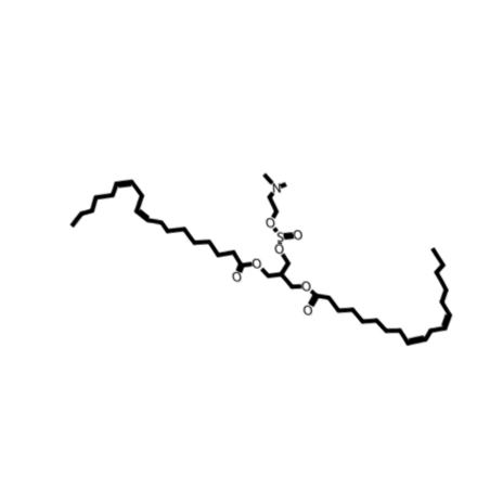 CCCCC/C=C\C/C=C\CCCCCCCC(=O)OCC(COC(=O)CCCCCCC/C=C\C/C=C\CCCCC)COS(=O)OCCN(C)C